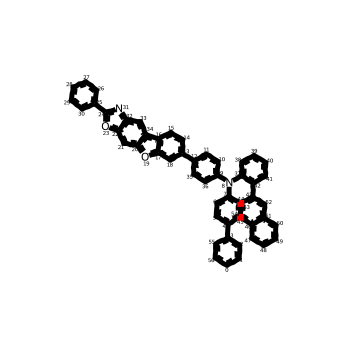 c1ccc(-c2ccc(N(c3ccc(-c4ccc5c(c4)oc4cc6oc(-c7ccccc7)nc6cc45)cc3)c3ccccc3-c3ccc4ccccc4c3)cc2)cc1